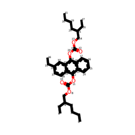 CCCCC(CC)COC(=O)Oc1c2ccccc2c(OC(=O)OCC(CC)CCCC)c2cc(CC)ccc12